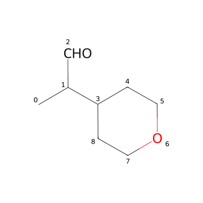 CC(C=O)C1CCOCC1